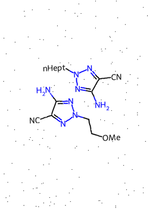 CCCCCCCn1nc(N)c(C#N)n1.COCCn1nc(N)c(C#N)n1